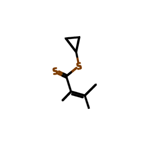 CC(C)=C(C)C(=S)SC1CC1